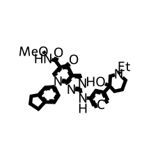 CCN1CCCC(O)(c2cccc(Nc3ncc4c(=O)c(C(=O)NOC)cn(-c5ccc6c(c5)CCC6)c4n3)c2)C1